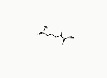 CCCCC(=O)NCCCS(=O)O